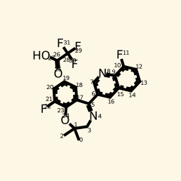 CC1(C)CN=C(c2cnc3c(F)cccc3c2)c2cccc(F)c2O1.O=C(O)C(F)(F)F